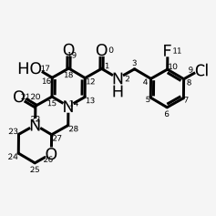 O=C(NCc1cccc(Cl)c1F)c1cn2c(c(O)c1=O)C(=O)N1CCCOC1C2